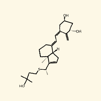 C=C1C(=CC=C2CCC[C@]3(C)C([C@H](C)SCCC(C)(C)O)=CC[C@@H]23)C[C@@H](O)C[C@@H]1O